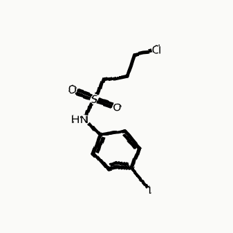 O=S(=O)(CCCCl)Nc1ccc(I)cc1